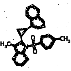 Cc1ccc(S(=O)(=O)n2c([C@H]3C[C@H]3c3cccc4ccccc34)c(C)c3ccccc32)cc1